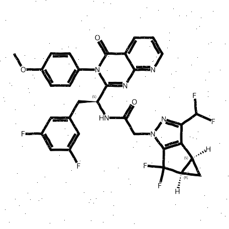 COc1ccc(-n2c([C@H](Cc3cc(F)cc(F)c3)NC(=O)Cn3nc(C(F)F)c4c3C(F)(F)[C@@H]3C[C@H]43)nc3ncccc3c2=O)cc1